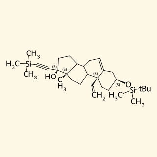 C=C[C@]12CC[C@H](O[Si](C)(C)C(C)(C)C)CC1=CCC1C2CC[C@@]2(C)C1CC[C@@]2(O)C#C[Si](C)(C)C